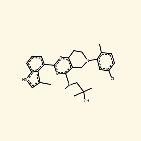 Cc1ccc(Cl)cc1N1CCc2nc(-c3cccc4[nH]cc(C)c34)nc(N(C)CC(C)(C)O)c2C1